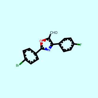 O=Cc1oc(-c2ccc(Br)cc2)nc1-c1ccc(F)cc1